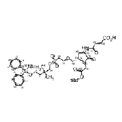 CC(C)(CCO[Si](c1ccccc1)(c1ccccc1)C(C)(C)C)COS(=O)(=O)CCOC[C@@H]1C[C@H](NC(=O)/C=C/C(=O)O)C(=O)N1CC(=O)OC(C)(C)C